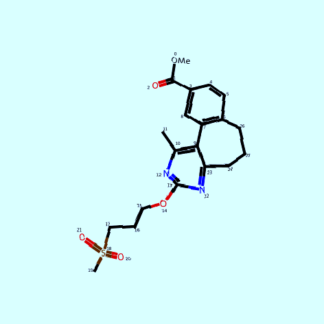 COC(=O)c1ccc2c(c1)-c1c(C)nc(OCCCS(C)(=O)=O)nc1CCC2